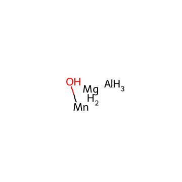 [AlH3].[MgH2].[OH][Mn]